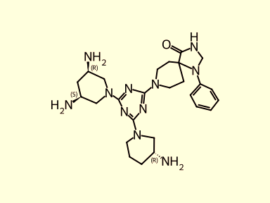 N[C@@H]1CCCN(c2nc(N3CCC4(CC3)C(=O)NCN4c3ccccc3)nc(N3C[C@H](N)C[C@H](N)C3)n2)C1